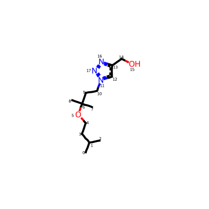 CC(C)CCOC(C)(C)CCn1cc(CO)nn1